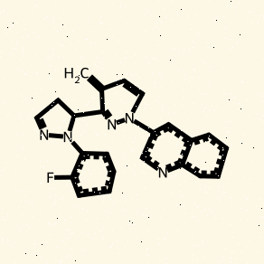 C=C1C=CN(c2cnc3ccccc3c2)N=C1C1CC=NN1c1ccccc1F